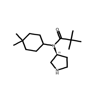 CC1(C)CCC(N(C(=O)C(C)(C)C)[C@H]2CCNC2)CC1